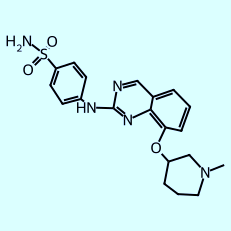 CN1CCCC(Oc2cccc3cnc(Nc4ccc(S(N)(=O)=O)cc4)nc23)C1